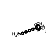 C=C(CO)C(=O)OCC(COC(=O)C(=C)CO)C1CCC(C2CCC(C3CCC(c4ccc(CCC)cc4)CC3)CC2)CC1